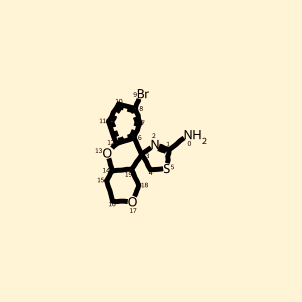 NC1=NC2(CS1)c1cc(Br)ccc1OC1CCOCC12